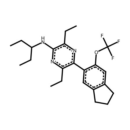 CCc1nc(-c2cc3c(cc2OC(F)(F)F)CCC3)c(CC)nc1NC(CC)CC